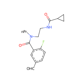 CCCN(CCNC(=O)C1CC1)C(=O)c1cc(C=O)ccc1F